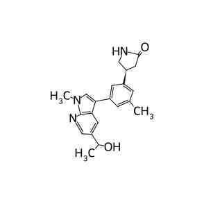 Cc1cc(-c2cn(C)c3ncc(C(C)O)cc23)cc([C@H]2CNC(=O)C2)c1